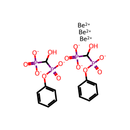 O=P([O-])([O-])C(O)P(=O)([O-])Oc1ccccc1.O=P([O-])([O-])C(O)P(=O)([O-])Oc1ccccc1.[Be+2].[Be+2].[Be+2]